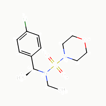 CCN([C@@H](C)c1ccc(Cl)cc1)S(=O)(=O)N1CCOCC1